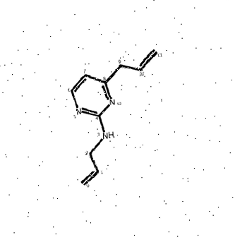 C=CCNc1nccc(CC=C)n1